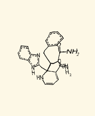 NC(=O)C1=CC=CNC1(c1nc2ccccc2[nH]1)C(Cc1ccccc1)C(O)C(N)=O